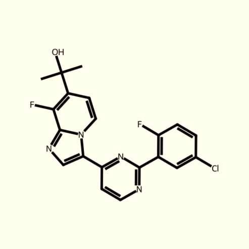 CC(C)(O)c1ccn2c(-c3ccnc(-c4cc(Cl)ccc4F)n3)cnc2c1F